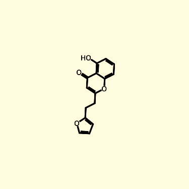 O=c1cc(CCc2ccco2)oc2cccc(O)c12